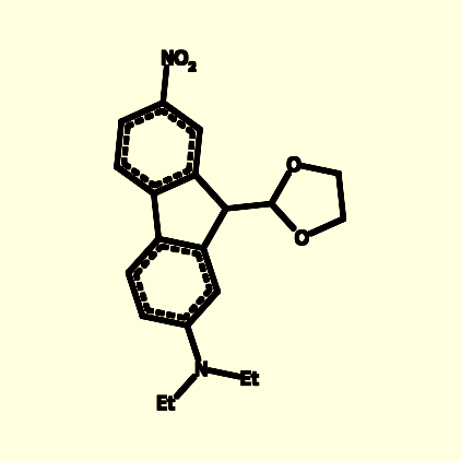 CCN(CC)c1ccc2c(c1)C(C1OCCO1)c1cc([N+](=O)[O-])ccc1-2